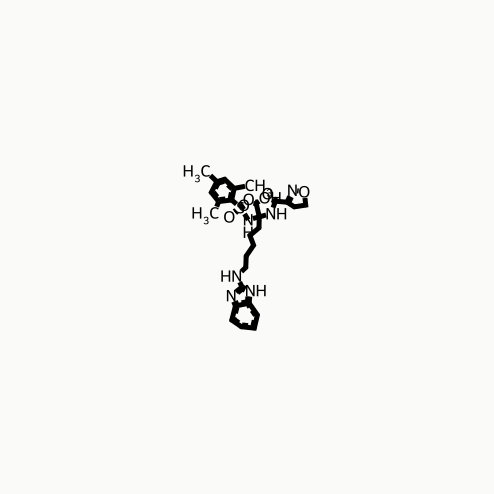 Cc1cc(C)c(S(=O)(=O)NC(CCCCCNc2nc3ccccc3[nH]2)(NC(=O)C2=NOCC2)C(=O)O)c(C)c1